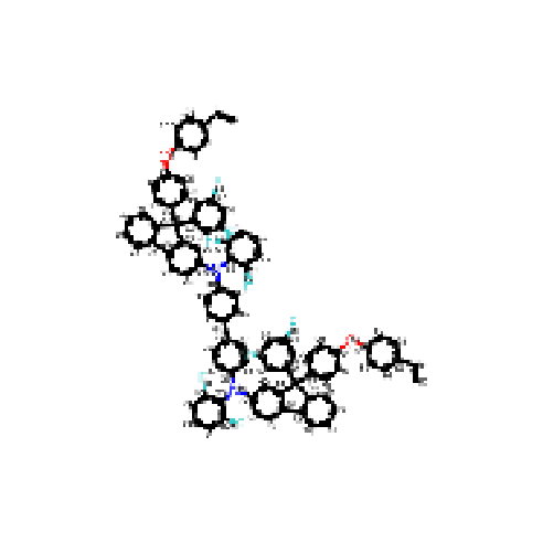 C=Cc1ccc(Oc2ccc(C3(c4cc(F)cc(F)c4)c4ccccc4-c4ccc(N(c5ccc(-c6ccc(N(c7ccc8c(c7)C(c7ccc(Oc9ccc(C=C)cc9)cc7)(c7cc(F)cc(F)c7)c7ccccc7-8)c7c(F)cccc7F)cc6)cc5)c5c(F)cccc5F)cc43)cc2)cc1